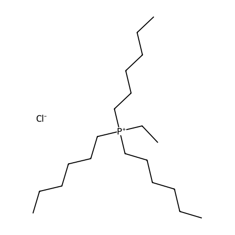 CCCCCC[P+](CC)(CCCCCC)CCCCCC.[Cl-]